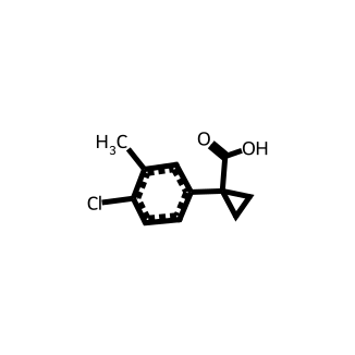 Cc1cc(C2(C(=O)O)CC2)ccc1Cl